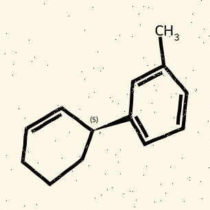 Cc1cccc([C@@H]2C=CCCC2)c1